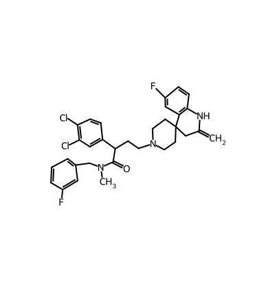 C=C1CC2(CCN(CCC(C(=O)N(C)Cc3cccc(F)c3)c3ccc(Cl)c(Cl)c3)CC2)c2cc(F)ccc2N1